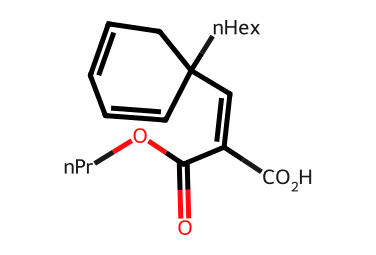 CCCCCCC1(C=C(C(=O)O)C(=O)OCCC)C=CC=CC1